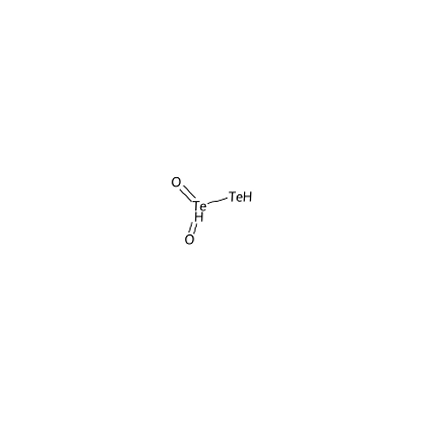 O=[TeH](=O)[TeH]